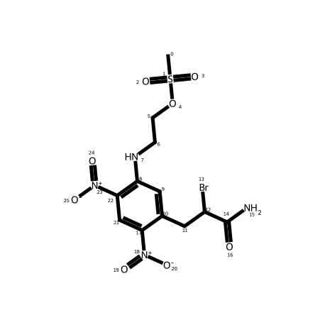 CS(=O)(=O)OCCNc1cc(CC(Br)C(N)=O)c([N+](=O)[O-])cc1[N+](=O)[O-]